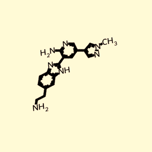 Cn1cc(-c2cnc(N)c(-c3nc4ccc(CCN)cc4[nH]3)c2)cn1